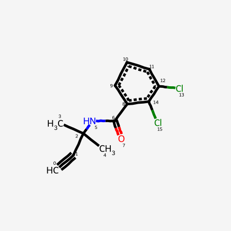 C#CC(C)(C)NC(=O)c1cccc(Cl)c1Cl